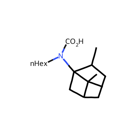 CCCCCCN(C(=O)O)C12CC(CCC1C)C2(C)C